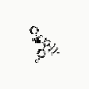 O=S(=O)(Nc1n[nH]c(C(F)(F)C(F)(F)F)c1-c1ccc(Cl)cc1)c1ccccc1